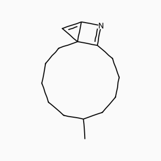 CC1CCCCCC23C=C2N=C3CCCC1